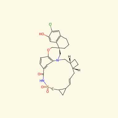 O=C1NS(=O)(=O)CC2CC2/C=C/C[C@H]2CC[C@H]2CN2C[C@@]3(CCCc4cc(Cl)c(O)cc43)COc3ccc1cc32